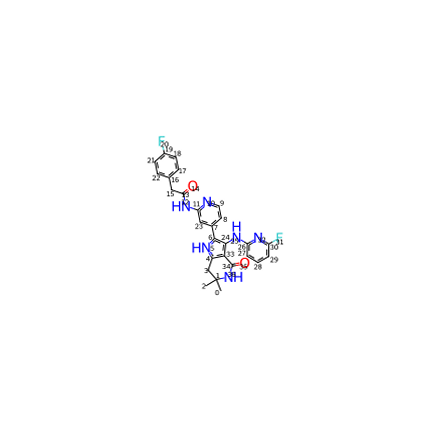 CC1(C)Cc2[nH]c(-c3ccnc(NC(=O)Cc4ccc(F)cc4)c3)c(Nc3cccc(F)n3)c2C(=O)N1